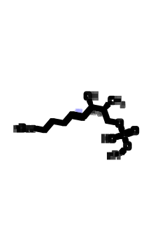 CCCCCCCCCCCCC/C=C/[C@@H](O)[C@@H](C)COP(=O)(O)OCCC